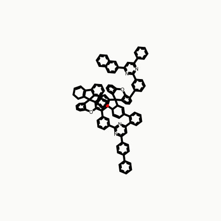 C1=CC2=C(CC1)C1(c3ccccc3Oc3c(-c4cccc(-c5nc(-c6ccc(-c7ccccc7)cc6)cc(-c6ccccc6C6=CC7C(C=C6)c6ccccc6C76c7ccccc7Oc7c(-c8cccc(-c9nc(-c%10ccccc%10)cc(-c%10ccc%11ccccc%11c%10)n9)c8)cccc76)n5)c4)cccc31)c1ccccc12